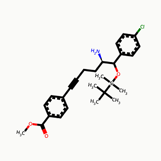 COC(=O)c1ccc(C#CCC[C@@H](N)C(O[Si](C)(C)C(C)(C)C)c2ccc(Cl)cc2)cc1